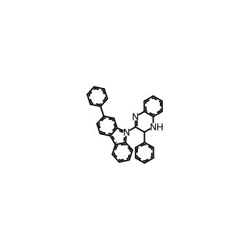 c1ccc(-c2ccc3c4ccccc4n(C4=Nc5ccccc5NC4c4ccccc4)c3c2)cc1